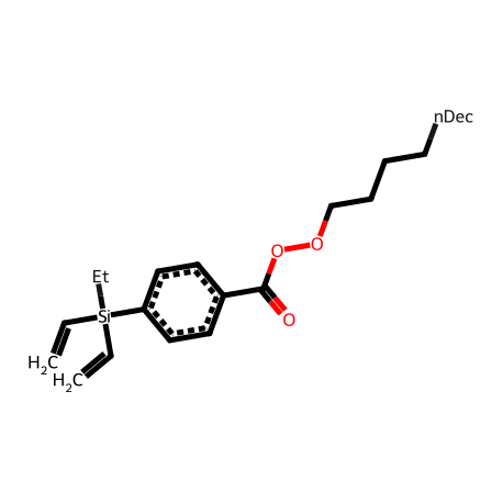 [CH2]CCCCCCCCCCCCCOOC(=O)c1ccc([Si](C=C)(C=C)CC)cc1